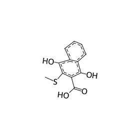 CSc1c(C(=O)O)c(O)c2ccccc2c1O